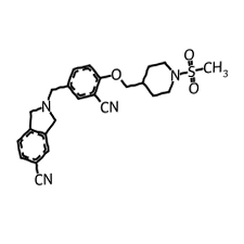 CS(=O)(=O)N1CCC(COc2ccc(CN3Cc4ccc(C#N)cc4C3)cc2C#N)CC1